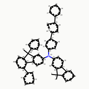 CC1(C)c2ccccc2-c2ccc(N(c3ccc(-c4ccc(-c5ccccc5)cc4)cc3)c3ccc4c(c3)C(C)(c3ccccc3)c3cccc(-c5ccccc5)c3-4)cc21